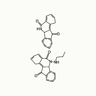 CCCNN1C(=O)C2=CC=CCC2=C2C(=O)c3ccccc3C21.O=C1NC2C(=C3CC=CC=C13)C(=O)c1ccccc12